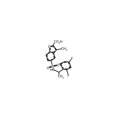 Cc1c(C(=O)O)oc2ccc(S(=O)(=O)NC(C)c3ccc(F)cc3F)cc12